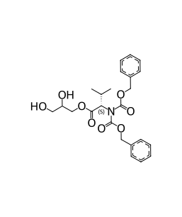 CC(C)[C@@H](C(=O)OCC(O)CO)N(C(=O)OCc1ccccc1)C(=O)OCc1ccccc1